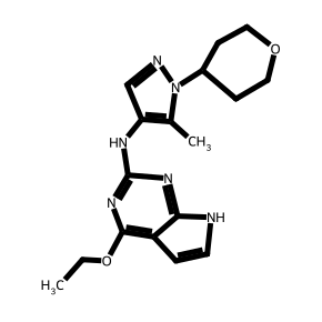 CCOc1nc(Nc2cnn(C3CCOCC3)c2C)nc2[nH]ccc12